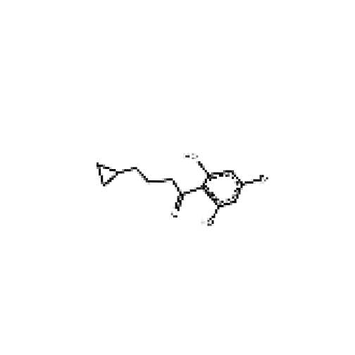 O=C(CCCC1CC1)c1c(O)cc(Br)cc1O